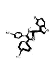 Fc1ccc2[nH]cc(-c3nc(-c4ccc(Br)cc4)c(-c4ccc(Br)cc4)[nH]3)c2c1